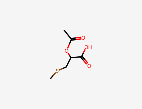 CSCC(OC(C)=O)C(=O)O